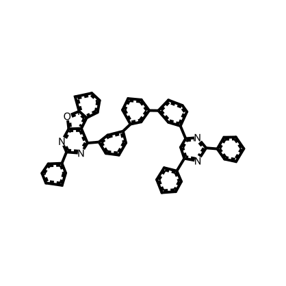 c1ccc(-c2cc(-c3cccc(-c4cccc(-c5cccc(-c6nc(-c7ccccc7)nc7oc8ccccc8c67)c5)c4)c3)nc(-c3ccccc3)n2)cc1